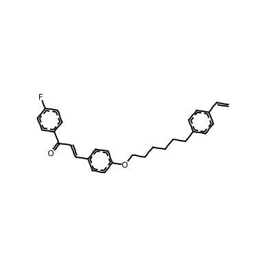 C=Cc1ccc(CCCCCCOc2ccc(C=CC(=O)c3ccc(F)cc3)cc2)cc1